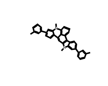 Cc1cccc(-c2ccc3c(c2)N(C)c2cccc4c2c-3cc2c4c3ccc(-c4cccc(C)c4)cc3n2C)c1